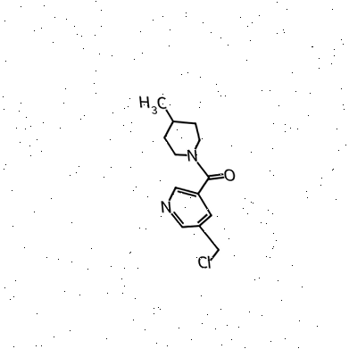 CC1CCN(C(=O)c2cncc(CCl)c2)CC1